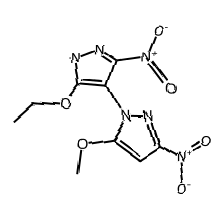 CCOC1=C(n2nc([N+](=O)[O-])cc2OC)C([N+](=O)[O-])=N[N]1